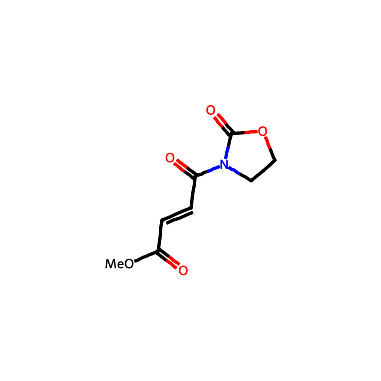 COC(=O)C=CC(=O)N1CCOC1=O